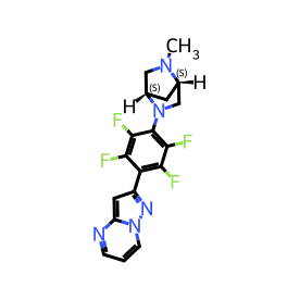 CN1C[C@@H]2C[C@H]1CN2c1c(F)c(F)c(-c2cc3ncccn3n2)c(F)c1F